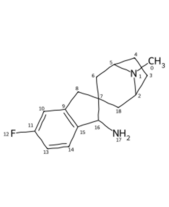 CN1C2CCC1CC1(Cc3cc(F)ccc3C1N)C2